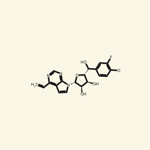 C=Cc1ncnc2c1ccn2[C@@H]1O[C@H](C(O)c2ccc(Cl)c(F)c2)[C@@H](O)[C@H]1O